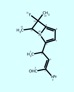 CCC/C(C=O)=C/C(C)c1ccc2n1C(C)C2(C)F